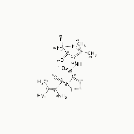 CC(C)=C(N)C(=O)N1CCC=C1C(=O)NC(C(=O)C(F)(F)F)=C(C)C